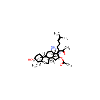 CC(=O)O[C@H]1C[C@@]2(C)[C@H](/C1=C(\CCC=C(C)C)C(C)=O)[C@@H](N)C[C@H]1[C@@]3(C)CC[C@@H](O)[C@@H](C)[C@@H]3CC[C@@]12C